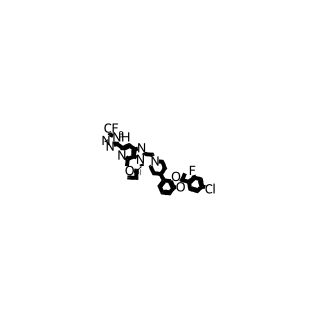 Cc1nc(-c2nnc(C(F)(F)F)[nH]2)cc2nc(CN3CCC(c4cccc5c4OC(C)(c4ccc(Cl)cc4F)O5)CC3)n(C[C@@H]3CCO3)c12